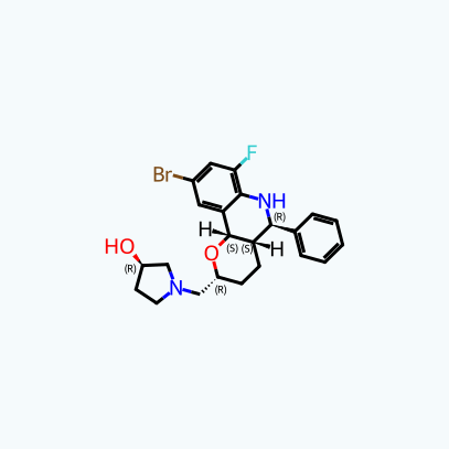 O[C@@H]1CCN(C[C@H]2CC[C@@H]3[C@H](O2)c2cc(Br)cc(F)c2N[C@H]3c2ccccc2)C1